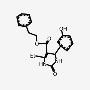 CCC1=C(C(=O)OCCc2ccccc2)C(c2cccc(O)c2)NC(=O)N1